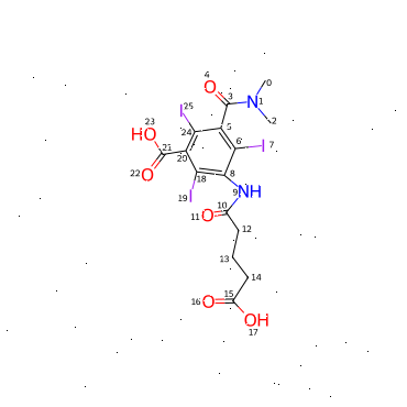 CN(C)C(=O)c1c(I)c(NC(=O)CCCC(=O)O)c(I)c(C(=O)O)c1I